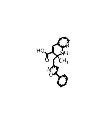 CC1(Cc2cc(-c3ccccc3)on2)Nc2ncccc2C=C1C(=O)O